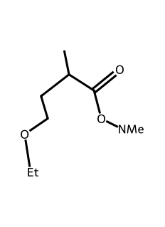 CCOCCC(C)C(=O)ONC